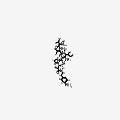 CCC(C)C(C(CC(=O)N1CCC[C@H]1C(OC)C(C)C(=O)N(C)CCc1ccc(N)cc1)OC)N(C)C(=O)C(NC(=O)C(C(C)C)N(C)C)C(C)C